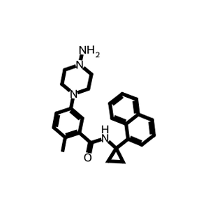 Cc1ccc(N2CCN(N)CC2)cc1C(=O)NC1(c2cccc3ccccc23)CC1